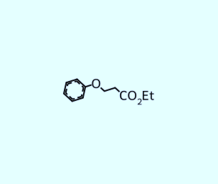 CCOC(=O)CCOc1ccccc1